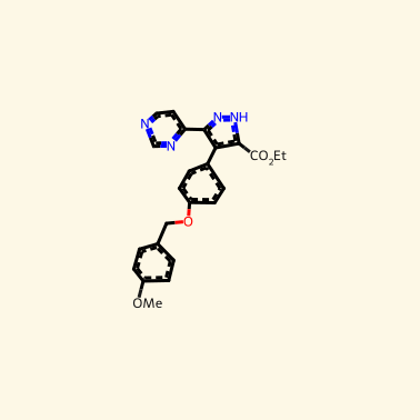 CCOC(=O)c1[nH]nc(-c2ccncn2)c1-c1ccc(OCc2ccc(OC)cc2)cc1